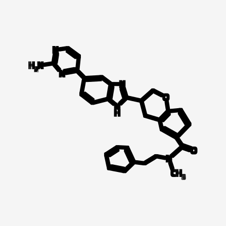 CN(CCc1ccccc1)C(=O)c1ccc2c(c1)CC(c1nc3cc(-c4ccnc(N)n4)ccc3[nH]1)CO2